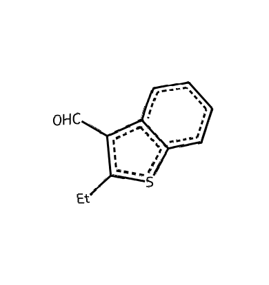 CCc1sc2ccccc2c1C=O